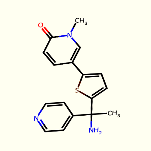 Cn1cc(-c2ccc(C(C)(N)c3ccncc3)s2)ccc1=O